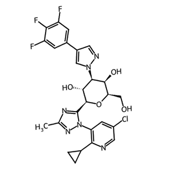 Cc1nc([C@@H]2O[C@H](CO)[C@H](O)[C@H](n3cc(-c4cc(F)c(F)c(F)c4)cn3)[C@H]2O)n(-c2cc(Cl)cnc2C2CC2)n1